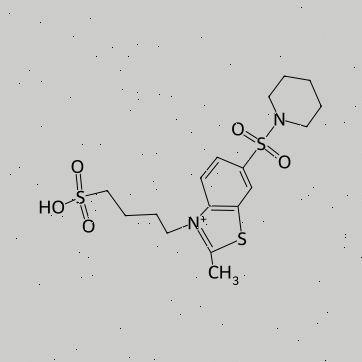 Cc1sc2cc(S(=O)(=O)N3CCCCC3)ccc2[n+]1CCCCS(=O)(=O)O